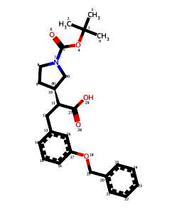 CC(C)(C)OC(=O)N1CC[C@H](C(Cc2cccc(OCc3ccccc3)c2)C(=O)O)C1